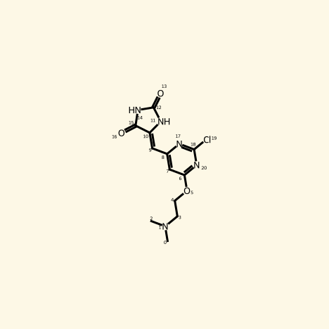 CN(C)CCOc1cc(/C=C2\NC(=O)NC2=O)nc(Cl)n1